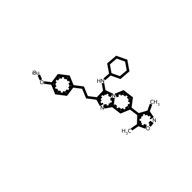 CCC(C)Oc1ccc(CCc2nc3cc(-c4c(C)noc4C)ccn3c2NC2CCCCC2)cc1